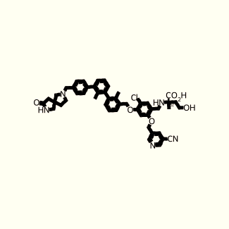 Cc1c(COc2cc(OCc3cncc(C#N)c3)c(CN[C@@](C)(CCO)C(=O)O)cc2Cl)cccc1-c1cccc(-c2ccc(CN3CCC4(CNC(=O)C4)C3)cc2)c1C